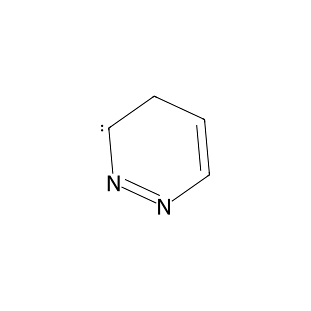 [C]1CC=CN=N1